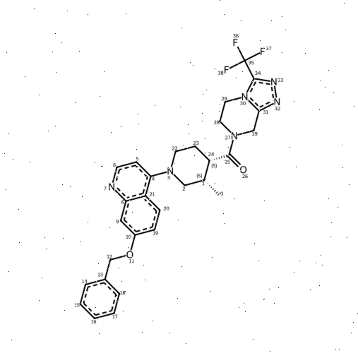 C[C@@H]1CN(c2ccnc3cc(OCc4ccccc4)ccc23)CC[C@@H]1C(=O)N1CCn2c(nnc2C(F)(F)F)C1